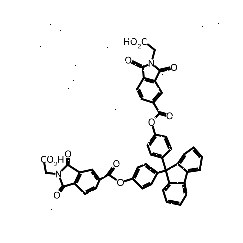 O=C(O)CN1C(=O)c2ccc(C(=O)Oc3ccc(C4(c5ccc(OC(=O)c6ccc7c(c6)C(=O)N(CC(=O)O)C7=O)cc5)c5ccccc5-c5ccccc54)cc3)cc2C1=O